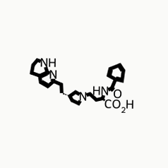 O=C(N[C@H](CCN1CC[C@H](CCc2ccc3c(n2)NCCC3)C1)C(=O)O)c1ccccc1